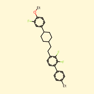 CCOc1ccc(C2CCC(CCc3ccc(-c4ccc(CC)cc4)c(F)c3F)CC2)cc1F